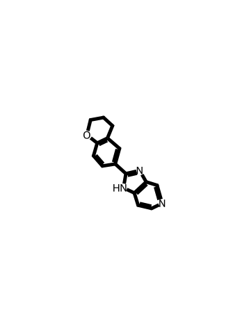 c1cc2[nH]c(-c3ccc4c(c3)CCCO4)nc2cn1